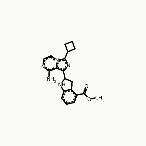 COC(=O)c1cccc2c1CC(c1nc(C3CCC3)n3ccnc(N)c13)N2